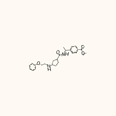 COC(=O)c1ccc(C(C)NC(=O)C2CCC(NCCOc3ccccc3)C2)cc1